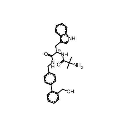 CC(C)(N)C(=O)N[C@H](Cc1c[nH]c2ccccc12)C(=O)NCc1ccc(-c2ccccc2CO)cc1